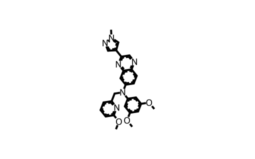 COc1cc(OC)cc(N(Cc2cccc(OC)n2)c2ccc3ncc(-c4cnn(C)c4)nc3c2)c1